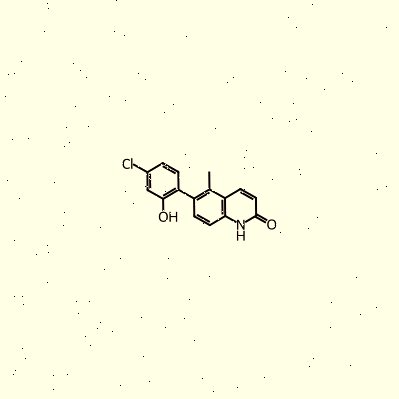 Cc1c(-c2ccc(Cl)cc2O)ccc2[nH]c(=O)ccc12